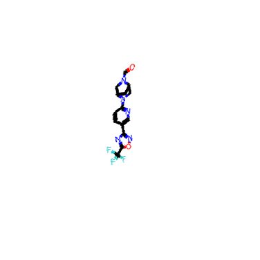 O=CN1CC2CC1CN2c1ccc(-c2noc(C(F)(F)F)n2)cn1